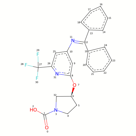 O=C(O)N1CC[C@H](Oc2cc(N=C(c3ccccc3)c3ccccc3)cc(C(F)(F)F)n2)C1